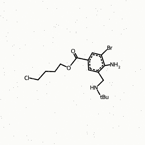 CC(C)(C)NCc1cc(C(=O)OCCCCCl)cc(Br)c1N